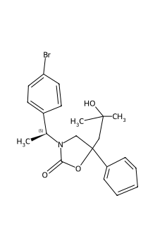 C[C@@H](c1ccc(Br)cc1)N1CC(CC(C)(C)O)(c2ccccc2)OC1=O